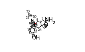 NC(=O)CC1C[C@@H]2N3Cc4ccc(O)cc4C2(CCN3CC2CC2)CC1=O